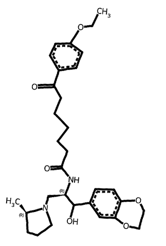 CCOc1ccc(C(=O)CCCCCC(=O)N[C@H](CN2CCC[C@H]2C)C(O)c2ccc3c(c2)OCCO3)cc1